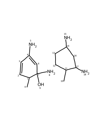 CC1C=CC(N)=CC1(N)O.CC1CCC(N)CC1N